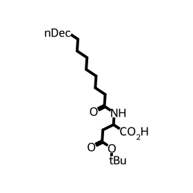 CCCCCCCCCCCCCCCCCC(=O)NC(CC(=O)OC(C)(C)C)C(=O)O